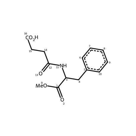 COC(=O)C(Cc1ccccc1)NC(=O)CCC(=O)O